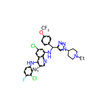 CCN1CCC(n2cc(C(Nc3cc(Cl)cc4c(Nc5ccc(F)c(Cl)c5)c(C#N)cnc34)c3ccc(OC(F)(F)F)cc3)nn2)CC1